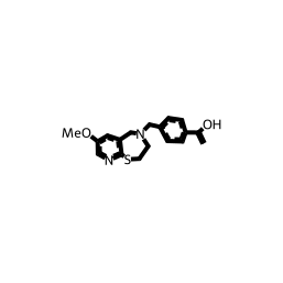 C=C(O)c1ccc(CN2CCSc3ncc(OC)cc3C2)cc1